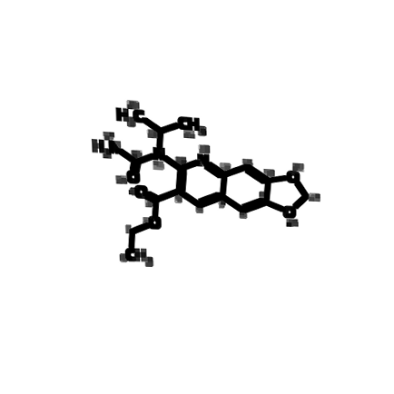 CCOC(=O)c1cc2cc3c(cc2nc1N(C(N)=O)C(C)C)OCO3